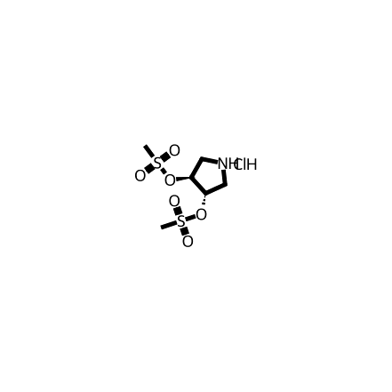 CS(=O)(=O)O[C@H]1CNC[C@@H]1OS(C)(=O)=O.Cl